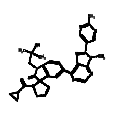 Cc1ncc(-c2nc3c(-c4ccc5c(c4)C4(CCCN4C(=O)C4CC4)C(=O)N5CC(C)(C)O)ncnc3n2C)cn1